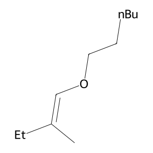 CCCCCCOC=C(C)CC